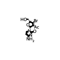 CC(=O)[C@@H]1[C@H](Br)[C@@H](CO)O[C@H]1n1ccc(N)nc1=O